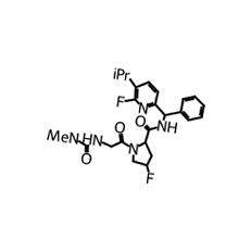 CNC(=O)NCC(=O)N1CC(F)CC1C(=O)NC(c1ccccc1)c1ccc(C(C)C)c(F)n1